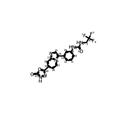 O=C(NCC(F)(F)F)Nc1cccc(-c2cnc3cc(-c4n[nH]c(=O)o4)ccn23)c1